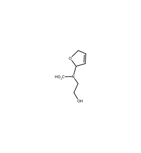 O=C(O)N(CCO)C1C=CCO1